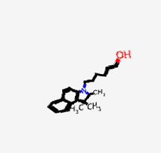 CC1N(CCCCCCO)c2ccc3ccccc3c2C1(C)C